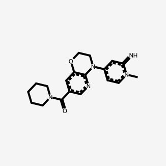 Cn1ccc(N2CCOc3cc(C(=O)N4CCCCC4)cnc32)cc1=N